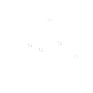 Cc1cnn2ccc(Cl)nc12